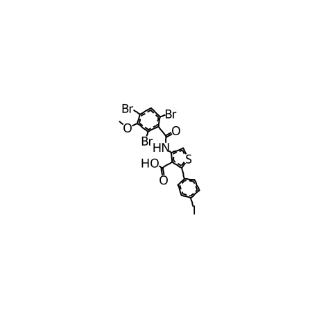 COc1c(Br)cc(Br)c(C(=O)Nc2csc(-c3ccc(I)cc3)c2C(=O)O)c1Br